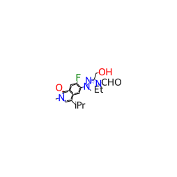 CCN(C=O)/C(CO)=N\N(C)c1cc2c(C(C)C)cn(C)c(=O)c2cc1F